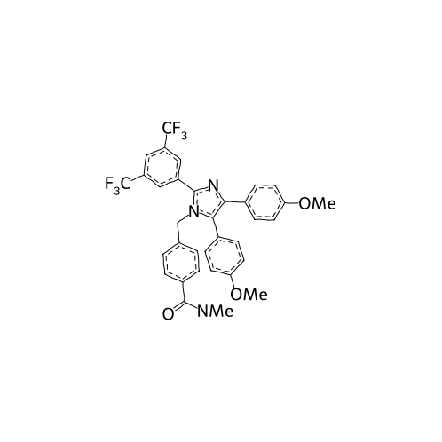 CNC(=O)c1ccc(Cn2c(-c3cc(C(F)(F)F)cc(C(F)(F)F)c3)nc(-c3ccc(OC)cc3)c2-c2ccc(OC)cc2)cc1